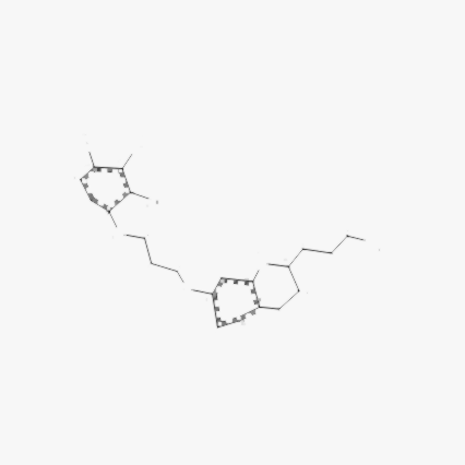 CCCc1c(OCCCOc2ccc3c(c2)OC(CCCC(=O)O)CC3)ccc(C(C)=O)c1O